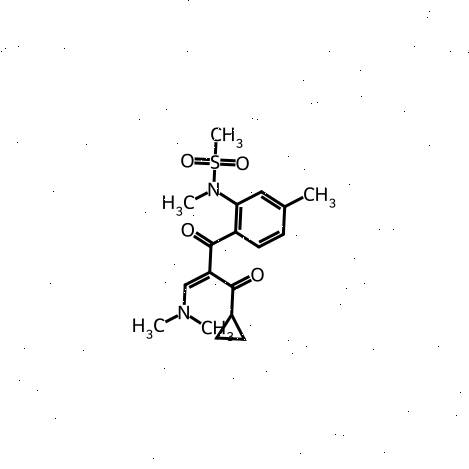 Cc1ccc(C(=O)C(=CN(C)C)C(=O)C2CC2)c(N(C)S(C)(=O)=O)c1